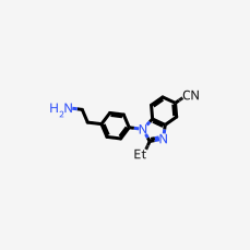 CCc1nc2cc(C#N)ccc2n1-c1ccc(CCN)cc1